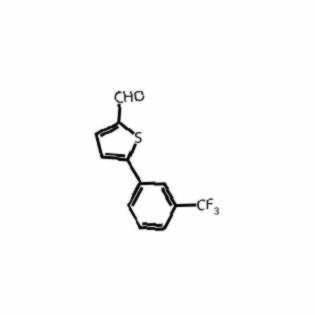 O=Cc1ccc(-c2cccc(C(F)(F)F)c2)s1